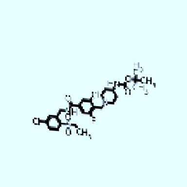 CCS(=O)(=O)c1ccc(Cl)cc1CNC(=O)c1cc(F)c(CN2CCC(NC(=O)OC(C)(C)C)CC2)c(Cl)c1